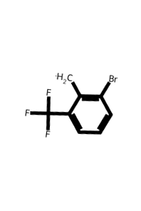 [CH2]c1c(Br)cccc1C(F)(F)F